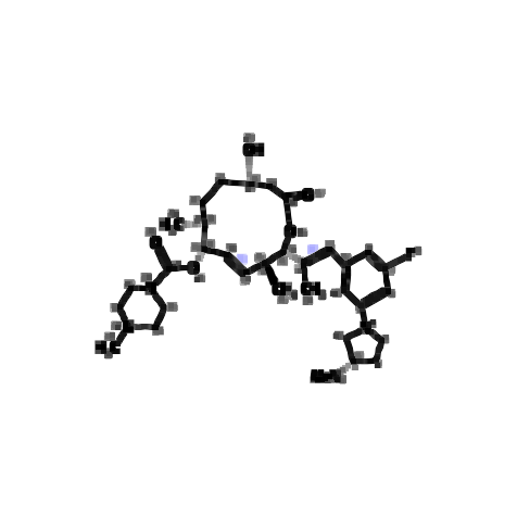 CN[C@H]1CCN(c2cc(F)cc(/C=C(\C)[C@H]3OC(=O)C[C@@H](O)CC[C@@H](C)[C@@H](OC(=O)N4CCN(C)CC4)/C=C/[C@@H]3C)c2)C1